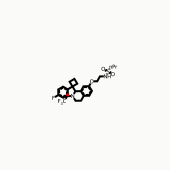 CCCS(=O)(=O)NCCOc1ccc2c(c1)C(C1(c3ccc(F)cc3)CCC1)N(CC(F)(F)F)CC2